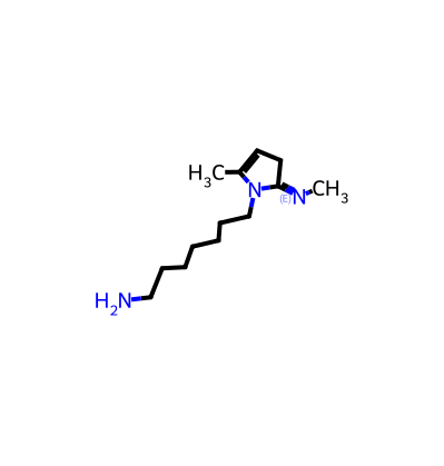 C/N=C1\CC=C(C)N1CCCCCCCN